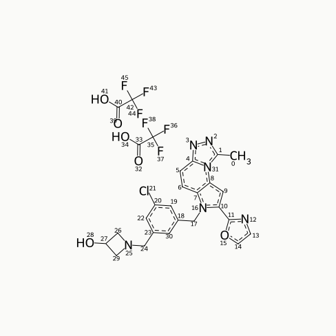 Cc1nnc2ccc3c(cc(-c4ncco4)n3Cc3cc(Cl)cc(CN4CC(O)C4)c3)n12.O=C(O)C(F)(F)F.O=C(O)C(F)(F)F